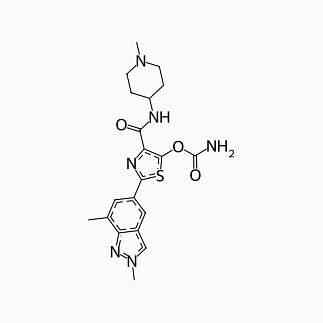 Cc1cc(-c2nc(C(=O)NC3CCN(C)CC3)c(OC(N)=O)s2)cc2cn(C)nc12